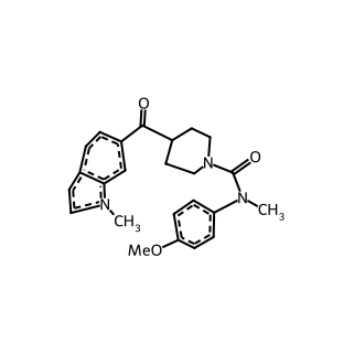 COc1ccc(N(C)C(=O)N2CCC(C(=O)c3ccc4ccn(C)c4c3)CC2)cc1